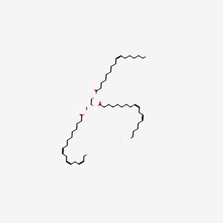 CC/C=C\C/C=C\C/C=C\CCCCCCCC(=O)OC[C@@H](COC(=O)CCCCCCC/C=C\CCCCCC)OC(=O)CCCCCCC/C=C\C/C=C\CCCCC